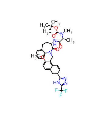 COc1ccc2cc(-c3nnc(C(F)(F)F)[nH]3)ccc2c1CN1C(=O)[C@@H](NC(=O)[C@H](C)N(C)C(=O)OC(C)(C)C)CCc2ccccc21